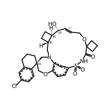 O=C1NS(=O)(=O)c2ccc3c(c2)N(C[C@@H]2CC[C@H]2[C@H](O)/C=C/COC12CCC2)C[C@@]1(CCCc2cc(Cl)ccc21)CO3